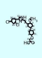 COc1ccc(-c2ccc(OCC(=O)O)cc2)cc1/C=C/c1nc(-c2ccc(Cl)cc2Cl)c[nH]1